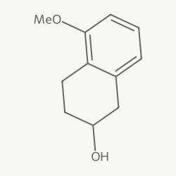 COc1cccc2c1CCC(O)C2